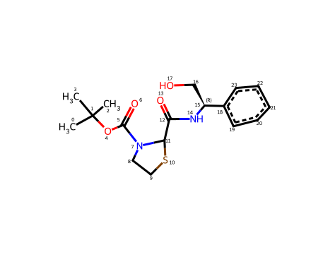 CC(C)(C)OC(=O)N1CCSC1C(=O)N[C@@H](CO)c1ccccc1